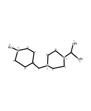 CCCC(CCC)N1CCN(CC2CCN(C(C)=O)CC2)CC1